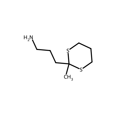 CC1(CCCN)SCCCS1